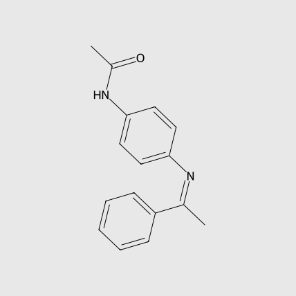 CC(=O)Nc1ccc(N=C(C)c2ccccc2)cc1